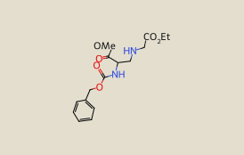 CCOC(=O)CNCC(NC(=O)OCc1ccccc1)C(=O)OC